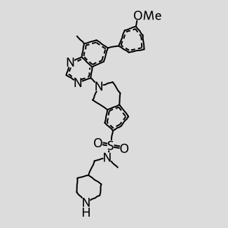 COc1cccc(-c2cc(C)c3ncnc(N4CCc5ccc(S(=O)(=O)N(C)CC6CCNCC6)cc5C4)c3c2)c1